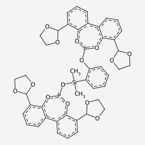 C[Si](C)(Op1oc2c(C3OCCO3)cccc2c2cccc(C3OCCO3)c2o1)c1ccccc1Op1oc2c(C3OCCO3)cccc2c2cccc(C3OCCO3)c2o1